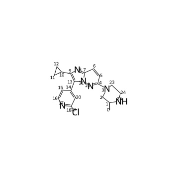 CC1CN(c2ccc3nc(C4CC4)c(-c4ccnc(Cl)c4)n3n2)CCN1